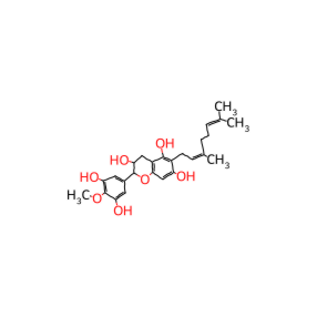 COc1c(O)cc(C2Oc3cc(O)c(CC=C(C)CCC=C(C)C)c(O)c3CC2O)cc1O